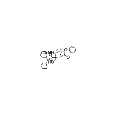 CC(=O)NC1S[C@@H]2C(Oc3ccccc3)C(=O)N2CC1(CO)C(=O)OC(c1ccccc1)c1ccccc1